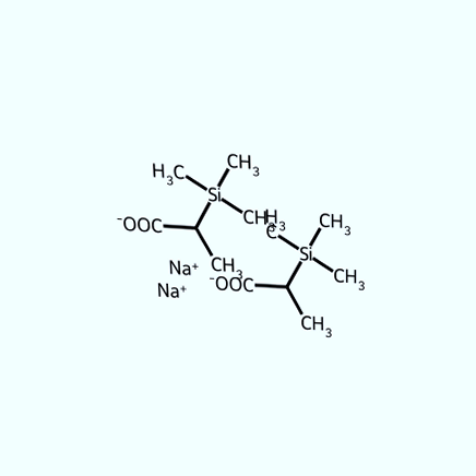 CC(C(=O)[O-])[Si](C)(C)C.CC(C(=O)[O-])[Si](C)(C)C.[Na+].[Na+]